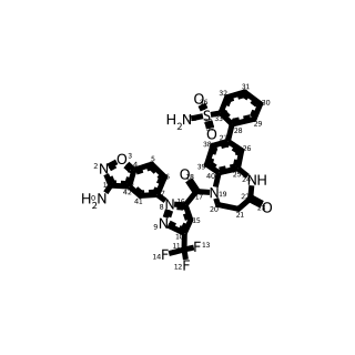 Nc1noc2ccc(-n3nc(C(F)(F)F)cc3C(=O)N3CCC(=O)Nc4cc(-c5ccccc5S(N)(=O)=O)ccc43)cc12